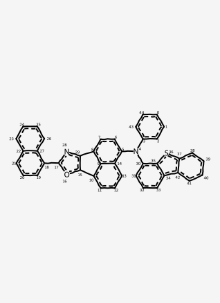 c1ccc(N(c2ccc3c4c(cccc24)-c2oc(-c4cccc5ccccc45)nc2-3)c2cccc3c2sc2ccccc23)cc1